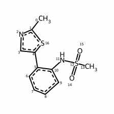 Cc1ncc(-c2ccccc2NS(C)(=O)=O)s1